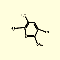 COc1nc(N)c(C(F)(F)F)cc1C#N